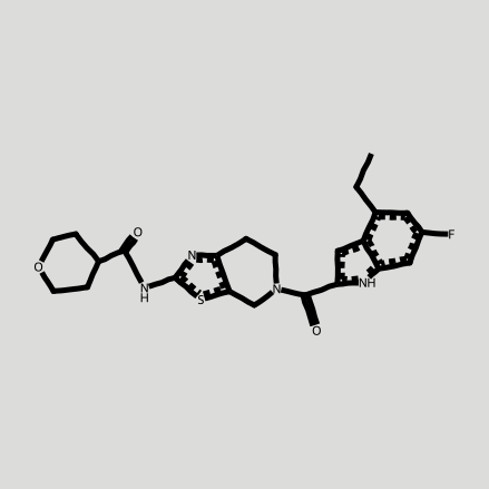 CCc1cc(F)cc2[nH]c(C(=O)N3CCc4nc(NC(=O)C5CCOCC5)sc4C3)cc12